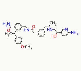 COc1ccc([C@@H](C)c2cc(CNC(=O)Cc3cccc(CC(C)NC[C@H](O)c4ccc(N)nc4)c3)ccc2C(N)=O)cc1